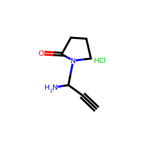 C#CC(N)N1CCCC1=O.Cl